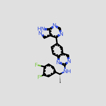 C[C@@H](Nc1ncc2cc(-c3ncnc4[nH]ncc34)ccc2n1)c1ccc(F)c(F)c1